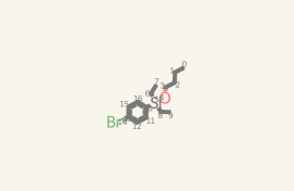 CCCCO[Si](CC)(CC)c1ccc(Br)cc1